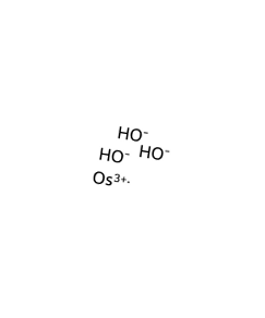 [OH-].[OH-].[OH-].[Os+3]